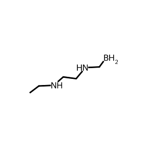 BCNCCNCC